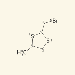 CC1CSC(CBr)S1